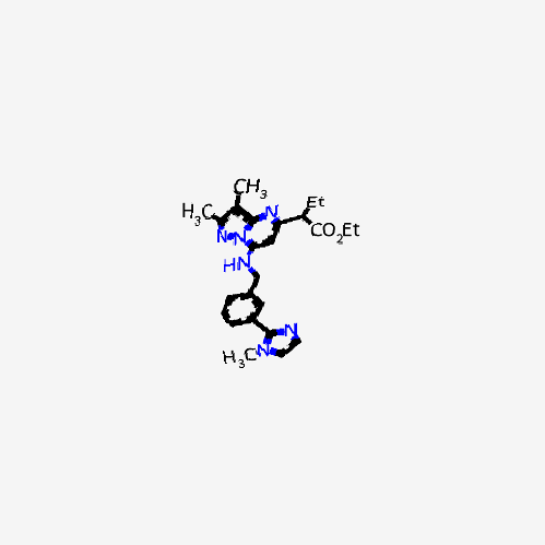 CCOC(=O)C(CC)c1cc(NCc2cccc(-c3nccn3C)c2)n2nc(C)c(C)c2n1